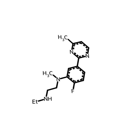 CCNCCN(C)c1cc(-c2nccc(C)n2)ccc1F